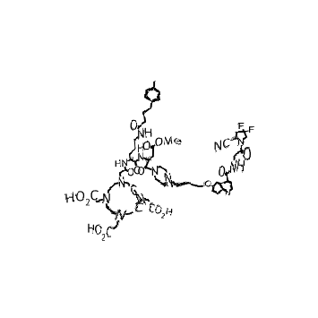 COC(=O)C[C@H](NC(=O)[C@H](CCCNC(=O)CCCc1ccc(C)cc1)NC(=O)CN1CCN(CC(=O)O)CCN(CC(=O)O)CCN(CC(=O)O)CC1)C(=O)N1CCN(CCCOc2ccc3nccc(C(=O)NCC(=O)N4CC(F)(F)C[C@@H]4C#N)c3c2)CC1